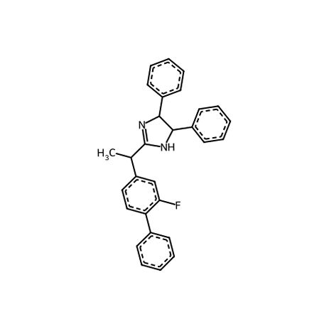 CC(C1=NC(c2ccccc2)C(c2ccccc2)N1)c1ccc(-c2ccccc2)c(F)c1